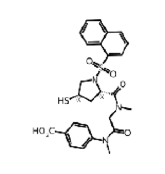 CN(CC(=O)N(C)c1ccc(C(=O)O)cc1)C(=O)[C@@H]1C[C@@H](S)CN1S(=O)(=O)c1cccc2ccccc12